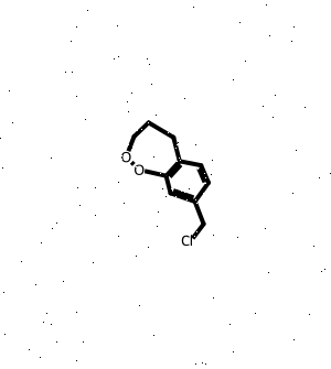 ClCc1ccc2c(c1)OOCCC2